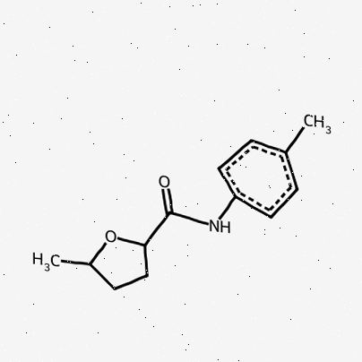 Cc1ccc(NC(=O)C2CCC(C)O2)cc1